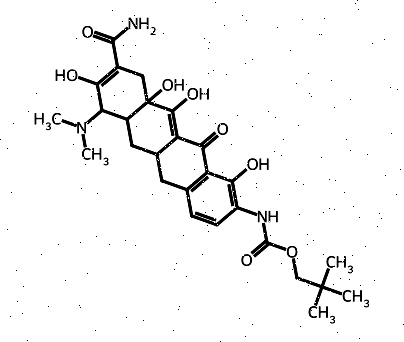 CN(C)C1C(O)=C(C(N)=O)CC2(O)C(O)=C3C(=O)c4c(ccc(NC(=O)OCC(C)(C)C)c4O)CC3CC12